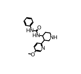 COc1ccc(C2CNCCC2NC(=O)Nc2ccccc2)nc1